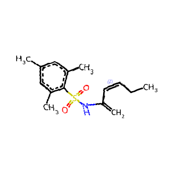 C=C(/C=C\CC)NS(=O)(=O)c1c(C)cc(C)cc1C